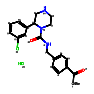 COC(=O)c1ccc(CNC(=O)N2CCNCC2c2cccc(Cl)c2)cc1.Cl